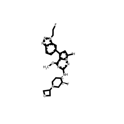 [2H]c1cc(-c2ccc3nnn(CCF)c3c2)c2c(OC)nc(N[C@H]3CCN(C4COC4)C[C@@H]3F)nn12